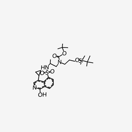 CC(CN(CCCO[Si](C)(C)C(C)(C)C)C(=O)OC(C)(C)C)NS(=O)(=O)c1cccc2c(O)ncc(C3CC3)c12